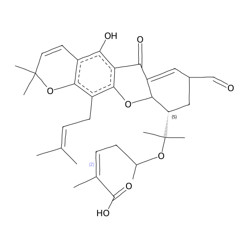 CC(C)=CCc1c2c(c(O)c3c1OC1C(=CC(C=O)C[C@@H]1C(C)(C)OC(C)C/C=C(/C)C(=O)O)C3=O)C=CC(C)(C)O2